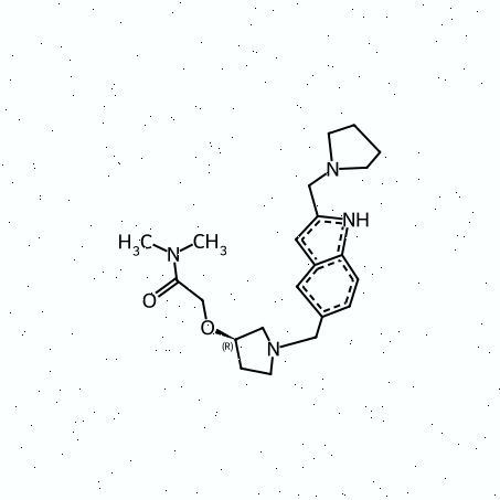 CN(C)C(=O)CO[C@@H]1CCN(Cc2ccc3[nH]c(CN4CCCC4)cc3c2)C1